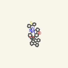 c1ccc(-c2nc(-c3cccc4oc5ccc(-c6cccc(-c7cccc8c7C7(c9ccccc9-c9ccccc97)c7ccccc7-8)c6)cc5c34)nc(-c3cccc4sc5ccccc5c34)n2)cc1